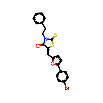 O=C1C(=Cc2ccc(-c3ccc(Br)cc3)o2)SC(=S)N1CCc1ccccc1